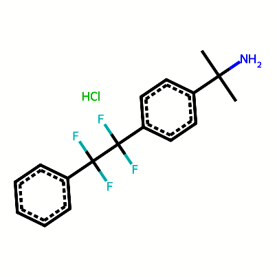 CC(C)(N)c1ccc(C(F)(F)C(F)(F)c2ccccc2)cc1.Cl